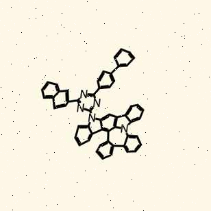 c1ccc(-c2ccc(-c3nc(-c4ccc5ccccc5c4)nc(-n4c5ccccc5c5c6c7c(cc54)c4ccccc4n7-c4ccccc4-c4ccccc4-6)n3)cc2)cc1